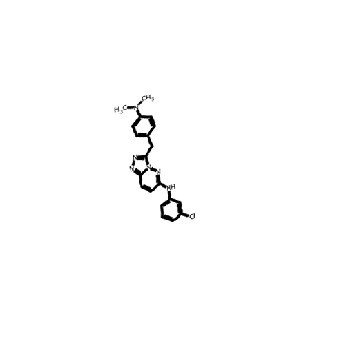 CN(C)c1ccc(Cc2nnc3ccc(Nc4cccc(Cl)c4)nn23)cc1